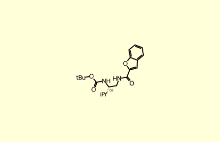 CC(C)[C@@H](CNC(=O)c1cc2ccccc2o1)NC(=O)OC(C)(C)C